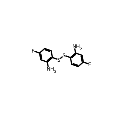 Nc1cc(F)ccc1SSc1ccc(F)cc1N